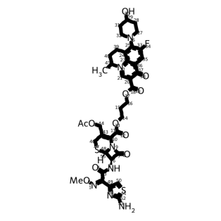 CO/N=C(\C(=O)N[C@@H]1C(=O)N2C(C(=O)OCCCOC(=O)c3cn4c5c(c(N6CCC(O)CC6)c(F)cc5c3=O)CCC4C)=C(COC(C)=O)CS[C@H]12)c1csc(N)n1